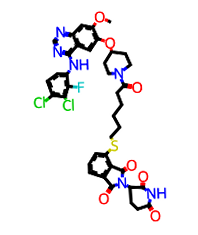 COc1cc2ncnc(Nc3ccc(Cl)c(Cl)c3F)c2cc1OC1CCN(C(=O)CCCCCSc2cccc3c2C(=O)N(C2CCC(=O)NC2=O)C3=O)CC1